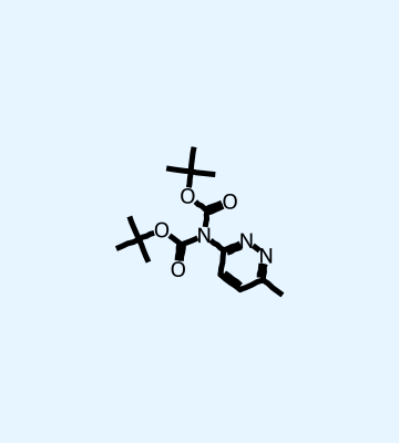 Cc1ccc(N(C(=O)OC(C)(C)C)C(=O)OC(C)(C)C)nn1